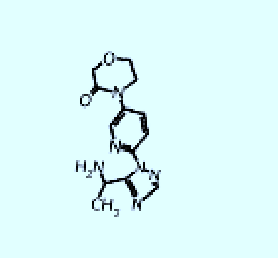 CC(N)c1ncnn1-c1ccc(N2CCOCC2=O)cn1